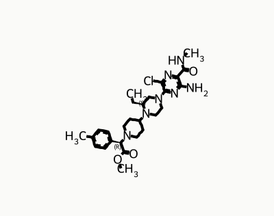 CC[C@H]1CN(c2nc(N)c(C(=O)NC)nc2Cl)CCN1C1CCN([C@@H](C(=O)OC)c2ccc(C)cc2)CC1